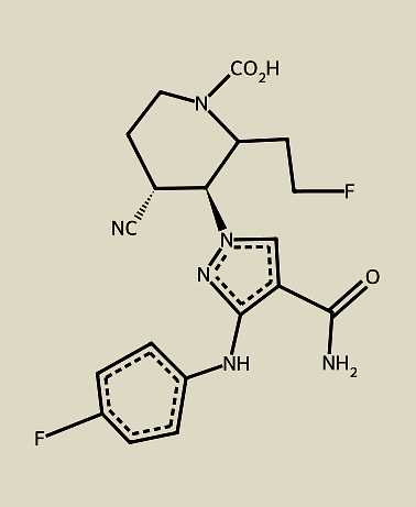 N#C[C@@H]1CCN(C(=O)O)C(CCF)[C@H]1n1cc(C(N)=O)c(Nc2ccc(F)cc2)n1